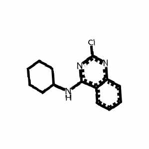 Clc1nc(NC2CCCCC2)c2ccccc2n1